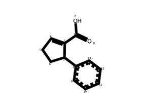 O=C(O)C1=CCCC1c1ccccc1